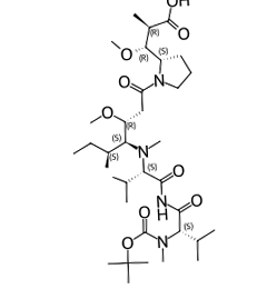 CC[C@H](C)[C@@H]([C@@H](CC(=O)N1CCC[C@H]1[C@H](OC)[C@@H](C)C(=O)O)OC)N(C)[C@H](C(=O)NC(=O)[C@H](C(C)C)N(C)C(=O)OC(C)(C)C)C(C)C